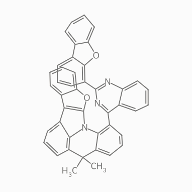 CC1(C)c2cccc(-c3nc(-c4cccc5c4oc4ccccc45)nc4ccccc34)c2-n2c3oc4ccccc4c3c3cccc1c32